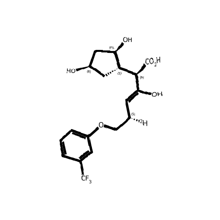 [2H][C@@H](C=C(O)[C@H](C(=O)O)[C@@H]1C[C@@H](O)C[C@H]1O)COc1cccc(C(F)(F)F)c1